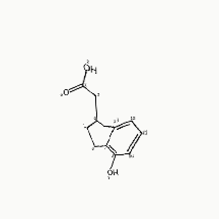 O=C(O)CC1CCc2c(O)cccc21